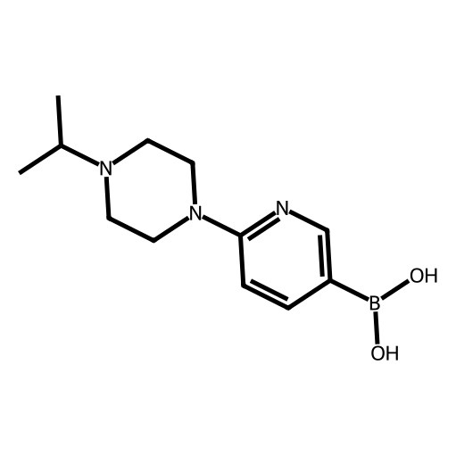 CC(C)N1CCN(c2ccc(B(O)O)cn2)CC1